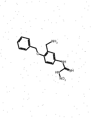 N=C(Nc1ccc(OCc2ccccc2)c(CN)c1)N[N+](=O)[O-]